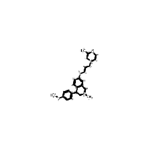 COc1ccc(C2CN(C)Cc3cc(OCCCN4CCOC(C)C4)ccc32)cc1